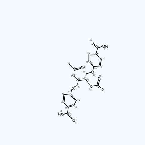 CC(=O)O[C@@H](COc1ccc(C(=O)O)cc1)[C@H](COc1ccc(C(=O)O)cc1)OC(C)=O